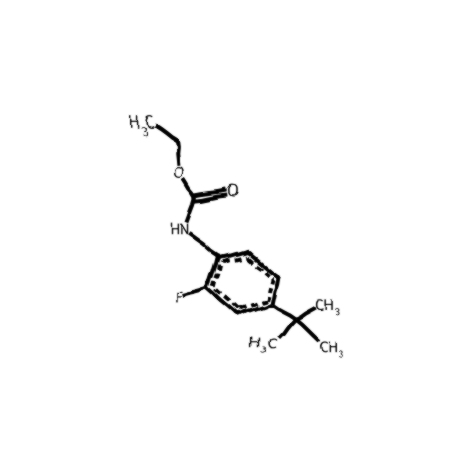 CCOC(=O)Nc1ccc(C(C)(C)C)cc1F